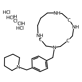 Cl.Cl.Cl.Cl.Cl.c1cc(CN2CCCNCCNCCCNCC2)ccc1CN1CCCCC1